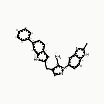 Cc1nc2cc(-n3ncc(Cc4cc5ccc(-c6ccccc6)cc5[nH]4)c3N)ccc2[nH]1